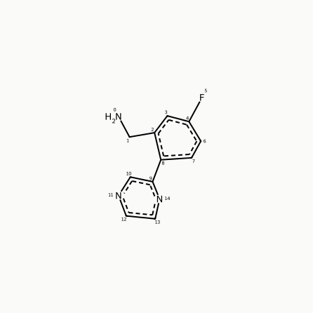 NCc1cc(F)ccc1-c1cnccn1